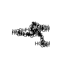 C[C@H]1O[C@@H](OCCOCCOCCn2cc(CNC(=O)CCP(=O)(O)CN3CCN(CP(=O)(O)CCC(=O)NCc4cn(CCOCCOCCO[C@@H]5O[C@H](CO)[C@H](O)[C@H](O)[C@H]5O)nn4)CCN(CP(=O)(O)CCC(=O)NCc4cn(CCOCCOCCO[C@@H]5O[C@H](CO)[C@H](O)[C@H](O)[C@H]5O)nn4)CC3)nn2)[C@H](O)[C@@H](O)[C@H]1O